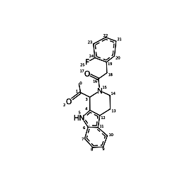 CC(=O)C1c2[nH]c3ccccc3c2CCN1C(=O)Cc1ccccc1F